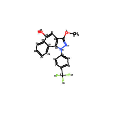 COc1nn(-c2ccc(C(F)(F)F)cc2)c2c1cc(O)c1ccccc12